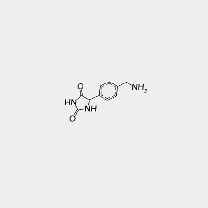 NCc1ccc(C2NC(=O)NC2=O)cc1